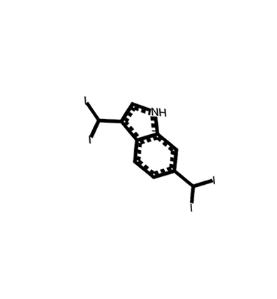 IC(I)c1ccc2c(C(I)I)c[nH]c2c1